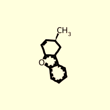 C[C@@H]1C=Cc2oc3ccccc3c2C1